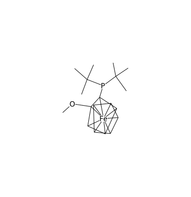 CO[C]12[CH]3[CH]4[CH]5[C]1(P(C(C)(C)C)C(C)(C)C)[Fe]43521678[CH]2[CH]1[CH]6[CH]7[CH]28